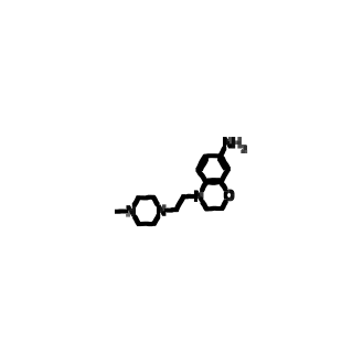 CN1CCN(CCN2CCOc3cc(N)ccc32)CC1